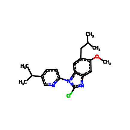 COc1cc2nc(Cl)n(-c3ccc(C(C)C)cn3)c2cc1CC(C)C